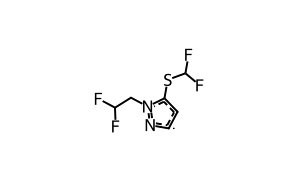 FC(F)Cn1n[c]cc1SC(F)F